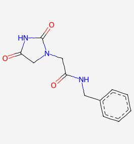 O=C(CN1CC(=O)NC1=O)NCc1ccccc1